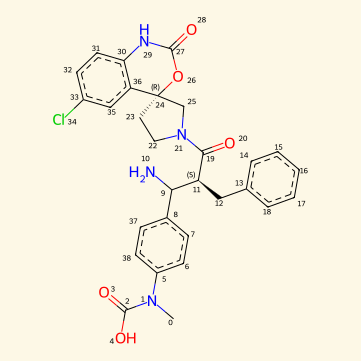 CN(C(=O)O)c1ccc(C(N)[C@H](Cc2ccccc2)C(=O)N2CC[C@@]3(C2)OC(=O)Nc2ccc(Cl)cc23)cc1